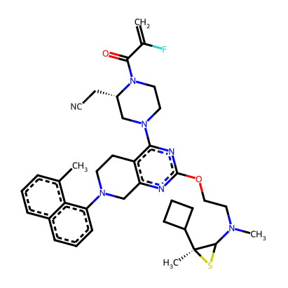 C=C(F)C(=O)N1CCN(c2nc(OCCN(C)C3S[C@@]3(C)C3CCC3)nc3c2CCN(c2cccc4cccc(C)c24)C3)C[C@@H]1CC#N